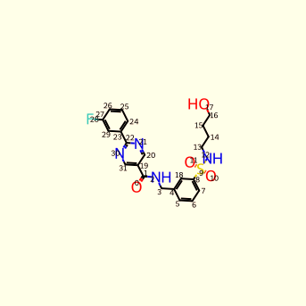 O=C(NCc1cccc(S(=O)(=O)NCCCCO)c1)c1cnc(-c2cccc(F)c2)nc1